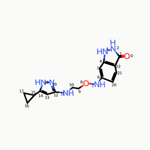 O=c1[nH][nH]c2cc(NOCCNc3cc(C4CC4)[nH]n3)ccc12